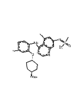 CCS(C)(=O)=Nc1cc(C)c2c(Nc3ccc(F)cc3O[C@H]3CC[C@H](OC)CC3)ncnc2c1